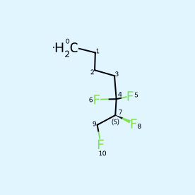 [CH2]CCCC(F)(F)[C@@H](F)CF